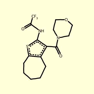 O=C(c1c(NC(=O)C(F)(F)F)sc2c1CCCCC2)N1CCOCC1